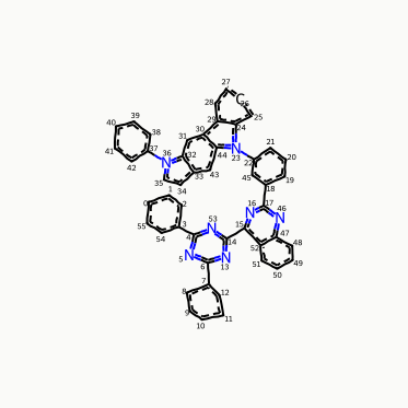 c1ccc(-c2nc(-c3ccccc3)nc(-c3nc(-c4cccc(-n5c6ccccc6c6cc7c(ccn7-c7ccccc7)cc65)c4)nc4ccccc34)n2)cc1